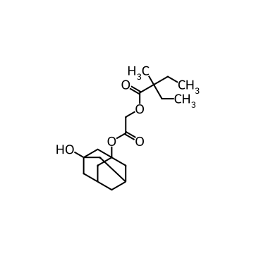 CCC(C)(CC)C(=O)OCC(=O)OC12CC3CC(CC(O)(C3)C1)C2